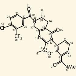 CNC(=O)c1cc(-n2c([S+](C)[O-])nc3c(c2=O)C[C@@H](C)N(C(=O)c2ccc(Cl)c(C(F)(F)F)c2)C3)ccn1